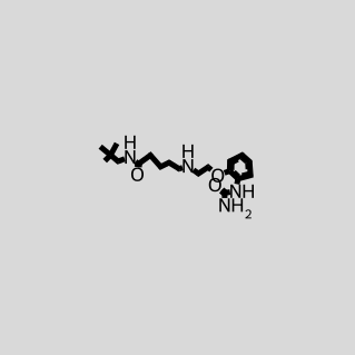 CC(C)(C)CNC(=O)CCCCNCCOc1ccccc1NC(N)=O